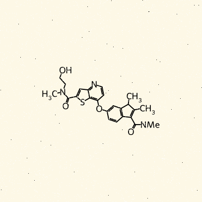 CNC(=O)C1=C(C)C(C)c2cc(Oc3ccnc4cc(C(=O)N(C)CCO)sc34)ccc21